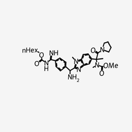 CCCCCCOC(=O)NC(=N)c1ccc(C(N)c2nc3cc(C(C)(C(=O)N4CCCC4)N(C)C(=O)OC)ccc3n2C)cc1